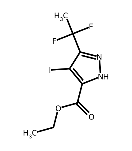 CCOC(=O)c1[nH]nc(C(C)(F)F)c1I